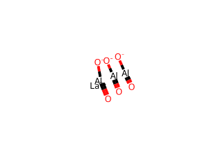 [La+3].[O]=[Al][O-].[O]=[Al][O-].[O]=[Al][O-]